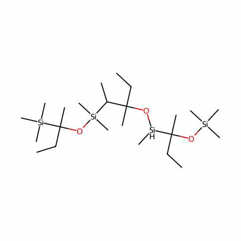 CCC(C)(O[SiH](C)C(C)(CC)O[Si](C)(C)C)C(C)[Si](C)(C)OC(C)(CC)[Si](C)(C)C